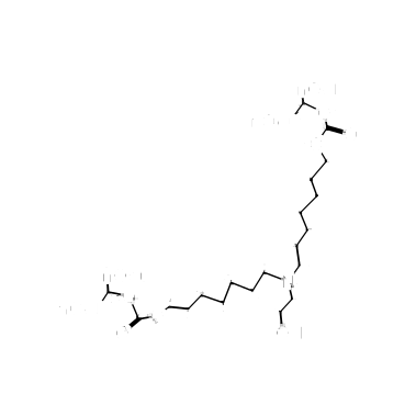 CCCCCCCCC(CCCCCCCC)OC(=O)OCCCCCCCN(CCO)CCCCCCCOC(=O)OC(CCCCCCCC)CCCCCCCC